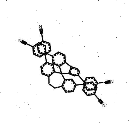 N#Cc1ccc(-c2ccc3c(c2)C2(c4cc(-c5ccc(C#N)cc5)ccc4CC3)c3cc(-c4ccc(C#N)cc4)ccc3-c3ccc(-c4ccc(C#N)cc4)cc32)cc1